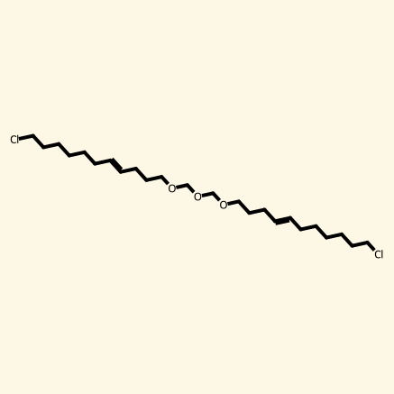 ClCCCCCCC=CCCCOCOCOCCCC=CCCCCCCCl